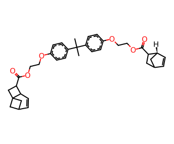 CC(C)(c1ccc(OCCOC(=O)C2CC34CC(C=CC23)C4)cc1)c1ccc(OCCOC(=O)C2CC3C=C[C@@H]2C3)cc1